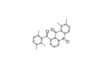 Cc1ccc(C)c(C(=O)c2cccc(P=O)c2C(=O)c2c(C)ccc(C)c2C)c1C